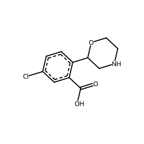 O=C(O)c1cc(Cl)ccc1C1CNCCO1